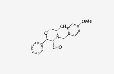 COc1ccc(CN2C(C)COC(c3ccccc3)C2C=O)cc1